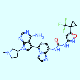 CN1CCC(n2cc(-c3ccc(NC(=O)Nc4cc(C5(C(F)(F)F)CC5)on4)c4nccn34)c3c(N)ncnc32)C1